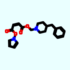 O=C(/C=C\C(=O)On1cccc1)OCN1CCC(Cc2ccccc2)CC1